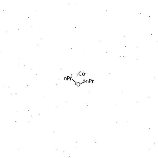 CCCOCCC.[Co]